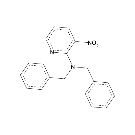 O=[N+]([O-])c1cccnc1N(Cc1ccccc1)Cc1ccccc1